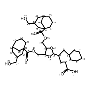 O=C(O)CCC(CC1CCCCC1)C1OC(COC(=O)C23CCCC(CC(CO)C2)C3)C(COC(=O)C23CCCC(CC(CO)C2)C3)O1